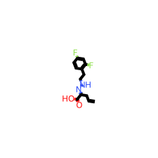 C=CC/C(=N\NCCc1ccc(F)cc1F)C(=O)O